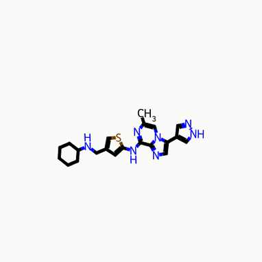 Cc1cn2c(-c3cn[nH]c3)cnc2c(Nc2cc(CNC3CCCCC3)cs2)n1